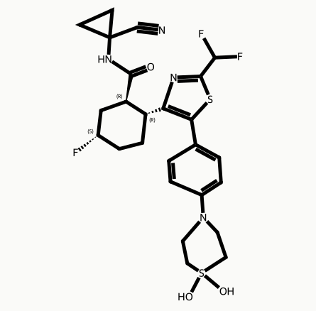 N#CC1(NC(=O)[C@@H]2C[C@@H](F)CC[C@H]2c2nc(C(F)F)sc2-c2ccc(N3CCS(O)(O)CC3)cc2)CC1